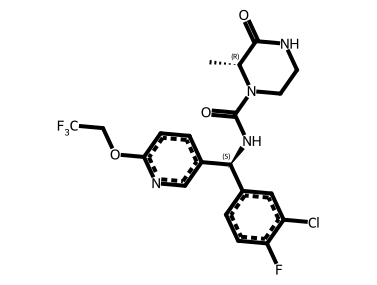 C[C@@H]1C(=O)NCCN1C(=O)N[C@H](c1ccc(OCC(F)(F)F)nc1)c1ccc(F)c(Cl)c1